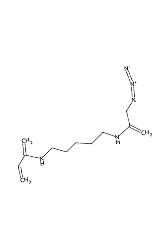 C=CC(=C)NCCCCCNC(=C)CN=[N+]=[N-]